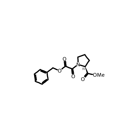 COC(=O)[C@@H]1CCCN1C(=O)C(=O)OCc1ccccc1